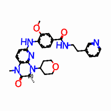 COc1cc(C(=O)NCCc2cccnc2)ccc1Nc1ccc2c(n1)N(C1CCOCC1)[C@H](C)C(=O)N2C